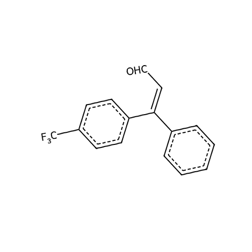 O=CC=C(c1ccccc1)c1ccc(C(F)(F)F)cc1